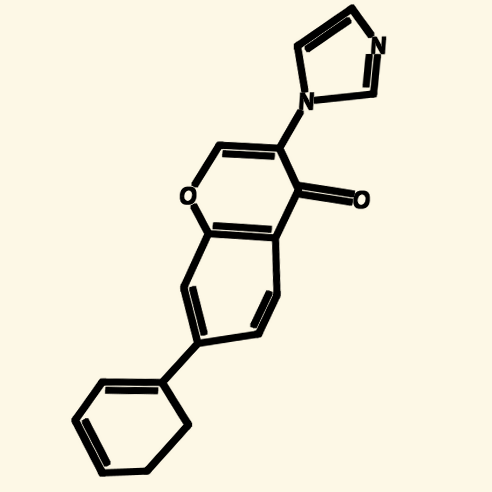 O=c1c(-n2ccnc2)coc2cc(C3=CC=CCC3)ccc12